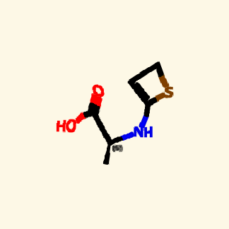 C[C@H](NC1=CCS1)C(=O)O